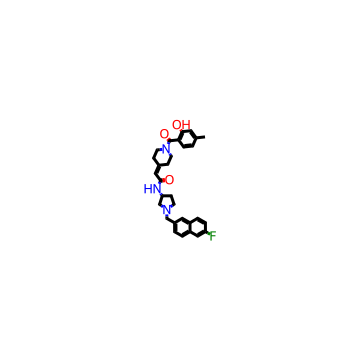 Cc1ccc(C(=O)N2CCC(=CC(=O)NC3CCN(Cc4ccc5cc(F)ccc5c4)C3)CC2)c(O)c1